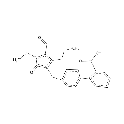 CCCc1c(C=O)n(CC)c(=O)n1Cc1ccc(-c2ccccc2C(=O)O)cc1